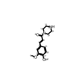 COc1cc(C=CC(=O)N2CCNCC2)ccc1O